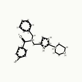 O=C(c1ccc(F)cc1)N(Cc1ccccc1)Cc1csc(N2CCOCC2)n1